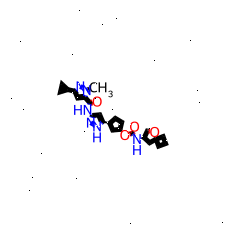 Cn1nc(C2CC2)cc1C(=O)Nc1cc([C@H]2CC[C@@H](OC(=O)N[C@@H]3COC4(CCC4)C3)C2)[nH]n1